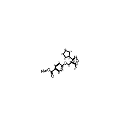 COC(=O)c1ccc(OCc2c(C3CCCC3)noc2C)nc1